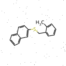 Cc1ccccc1CSc1ccc2ccccc2c1